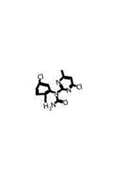 Cc1cc(Cl)nc(N(C(N)=O)c2cc(Cl)ccc2C)n1